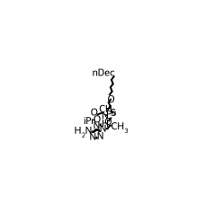 CCCCCCCCCCCCCCCCOCCCP(=S)(COC(C)Cn1cnc2c(N)ncnc21)NC(C)C(=O)OC(C)C